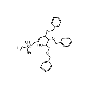 CC(C)(C)[Si](C)(C)OC/C=C/[C@@H](OCc1ccccc1)[C@H](OCc1ccccc1)[C@H](O)COCc1ccccc1